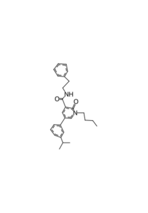 CCCCn1cc(-c2cccc(C(C)C)c2)cc(C(=O)NCCc2ccccc2)c1=O